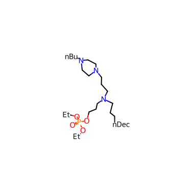 CCCCCCCCCCCCCN(CCCOP(=O)(OCC)OCC)CCCN1CCN(CCCC)CC1